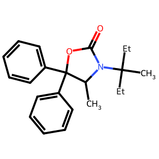 CCC(C)(CC)N1C(=O)OC(c2ccccc2)(c2ccccc2)C1C